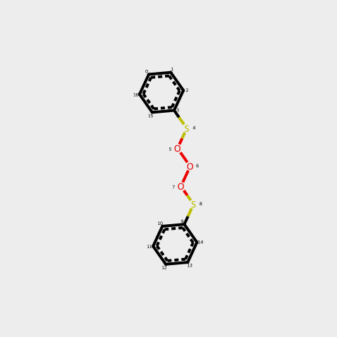 c1ccc(SOOOSc2ccccc2)cc1